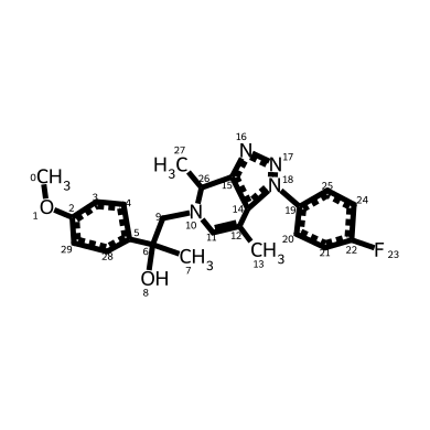 COc1ccc(C(C)(O)CN2C=C(C)c3c(nnn3-c3ccc(F)cc3)C2C)cc1